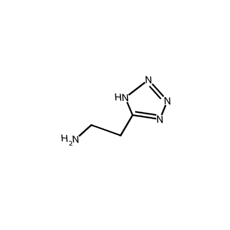 NCCc1nnn[nH]1